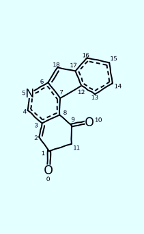 O=C1C=c2cnc3c(c2C(=O)C1)-c1ccccc1C=3